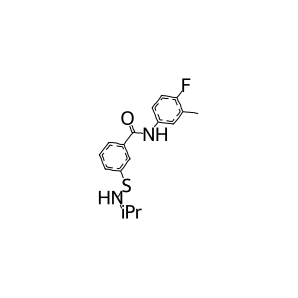 Cc1cc(NC(=O)c2cccc(SNC(C)C)c2)ccc1F